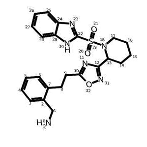 NCc1ccccc1CCc1nc(C2CCCCN2S(=O)(=O)c2nc3ccccc3[nH]2)no1